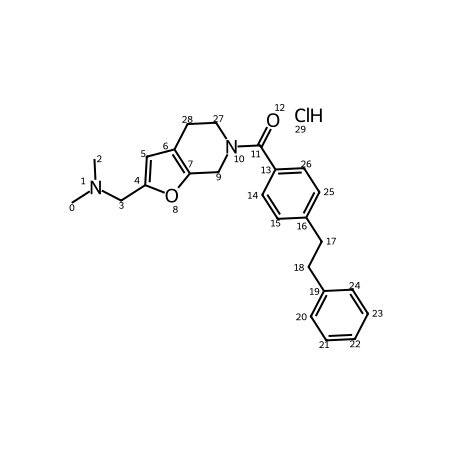 CN(C)Cc1cc2c(o1)CN(C(=O)c1ccc(CCc3ccccc3)cc1)CC2.Cl